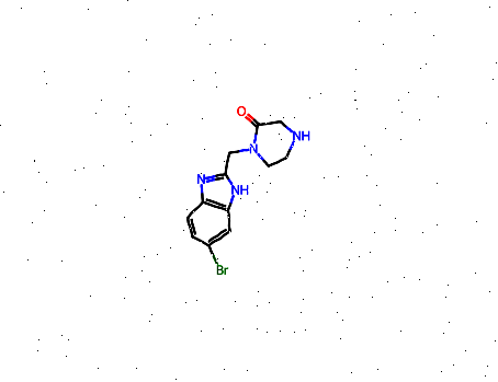 O=C1CNCCN1Cc1nc2ccc(Br)cc2[nH]1